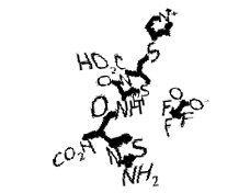 C[n+]1ccc(SCC2=C(C(=O)O)N3C(=O)C(NC(=O)C(=CC(=O)O)c4csc(N)n4)[C@@H]3SC2)cc1.O=C([O-])C(F)(F)F